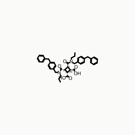 CCCN(Cc1ccc(Cc2ccccc2)cc1)C(=O)[C@H]1[C@@H](C(=O)O)[C@H](C(=O)O)[C@@H]1C(=O)N(CCC)Cc1ccc(Cc2ccccc2)cc1